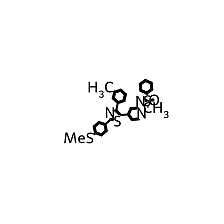 CSc1ccc(-c2nc(-c3cccc(C)c3)c(-c3ccnc(N=S(C)(=O)c4ccccc4)c3)s2)cc1